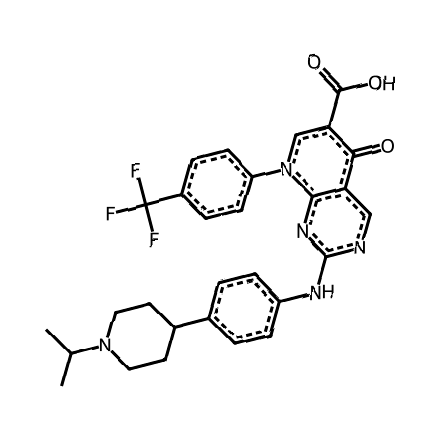 CC(C)N1CCC(c2ccc(Nc3ncc4c(=O)c(C(=O)O)cn(-c5ccc(C(F)(F)F)cc5)c4n3)cc2)CC1